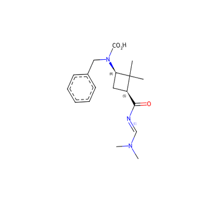 CN(C)/C=N/C(=O)[C@H]1C[C@@H](N(Cc2ccccc2)C(=O)O)C1(C)C